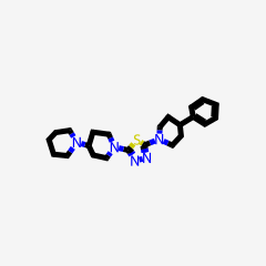 c1ccc(C2CCN(c3nnc(N4CCC(N5CCCCC5)CC4)s3)CC2)cc1